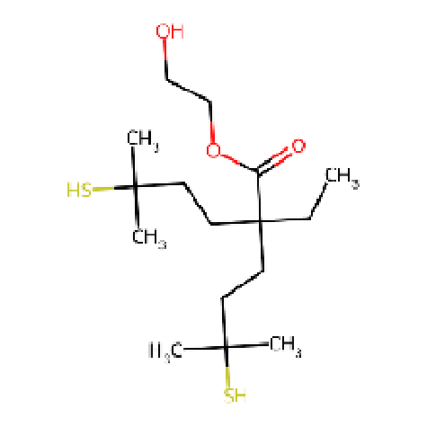 CCC(CCC(C)(C)S)(CCC(C)(C)S)C(=O)OCCO